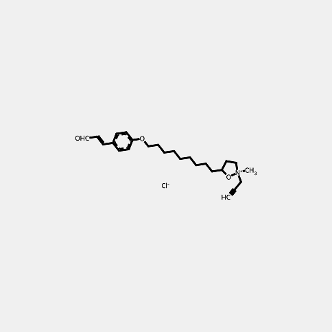 C#CC[N+]1(C)CCC(CCCCCCCCCOc2ccc(C=CC=O)cc2)O1.[Cl-]